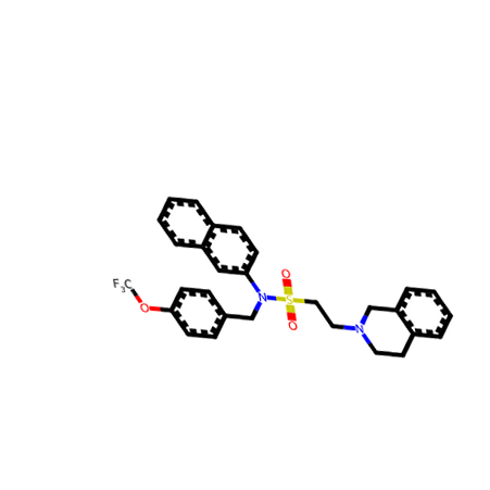 O=S(=O)(CCN1CCc2ccccc2C1)N(Cc1ccc(OC(F)(F)F)cc1)c1ccc2ccccc2c1